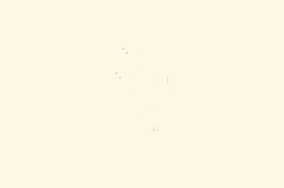 C=Cc1c(-c2ccc(C(C)(C)C)cc2)nc2n(c1=O)CCCC2